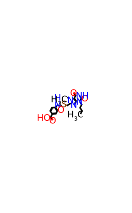 CCCCn1c(=O)[nH]c(=O)c2c1nc(CSC1Nc3ccc(C(=O)O)cc3O1)n2CC